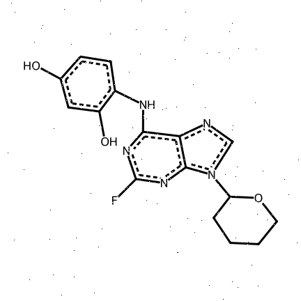 Oc1ccc(Nc2nc(F)nc3c2ncn3C2CCCCO2)c(O)c1